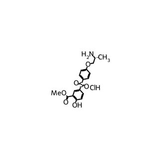 COC(=O)c1cc(S(=O)(=O)c2ccc(OC[C@@H](C)N)cc2)ccc1O.Cl